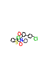 COc1ccc(-c2ccc(CCl)cc2)cc1CN(C(=O)c1sc2ccccc2c1Cl)C1CCCCC1